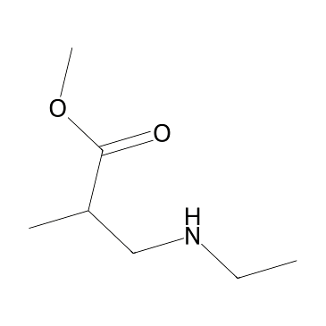 CCNCC(C)C(=O)OC